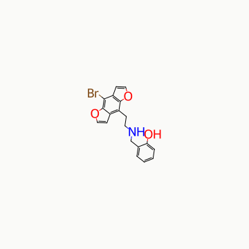 Oc1ccccc1CNCCc1c2ccoc2c(Br)c2ccoc12